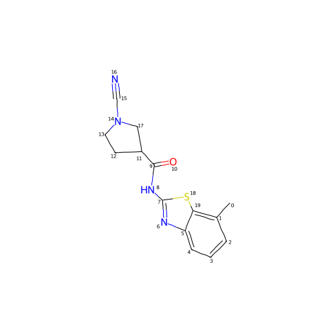 Cc1cccc2nc(NC(=O)C3CCN(C#N)C3)sc12